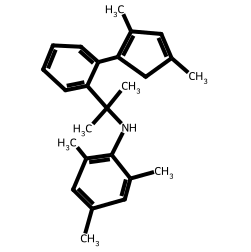 CC1=CC(C)=C(c2ccccc2C(C)(C)Nc2c(C)cc(C)cc2C)C1